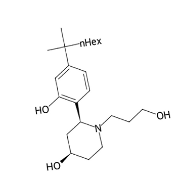 CCCCCCC(C)(C)c1ccc([C@@H]2C[C@H](O)CCN2CCCO)c(O)c1